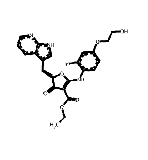 CCOC(=O)C1=C(Nc2ccc(OCCO)cc2F)OC(=Cc2c[nH]c3ncccc23)C1=O